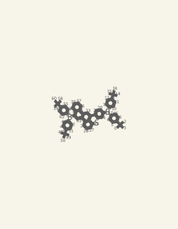 CC(C)(C)c1ccc(B(c2ccc(C(C)(C)C)cc2)c2ccc3c(c2)Sc2cccc4c2c-3cc2c3ccccc3c(B(c3ccc(C(C)(C)C)cc3)c3ccc(C(C)(C)C)cc3)cc42)cc1